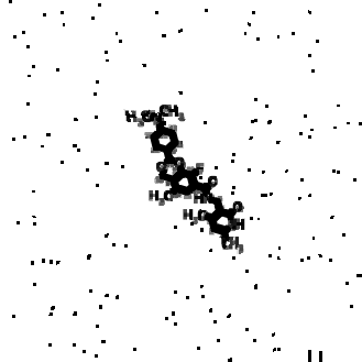 Cc1cc(C)c(CNC(=O)c2cc(C)c3c(c2F)OC(C2CCC(N(C)C)CC2)OC3)c(=O)[nH]1